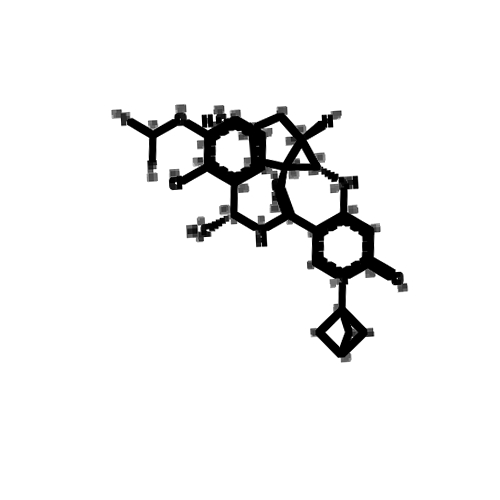 C[C@@H](NC(=O)c1cn(C23CC(C2)C3)c(=O)cc1N[C@@H]1[C@@H]2CN(C)C[C@@H]21)c1cccc(OC(F)F)c1Cl